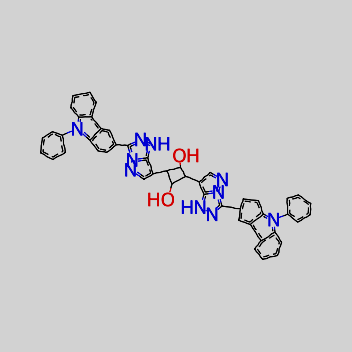 OC1C(c2cnn3c(-c4ccc5c(c4)c4ccccc4n5-c4ccccc4)n[nH]c23)C(O)C1c1cnn2c(-c3ccc4c(c3)c3ccccc3n4-c3ccccc3)n[nH]c12